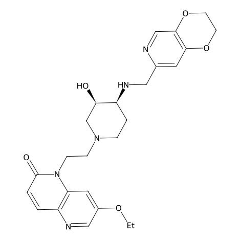 CCOc1cnc2ccc(=O)n(CCN3CC[C@H](NCc4cc5c(cn4)OCCO5)[C@H](O)C3)c2c1